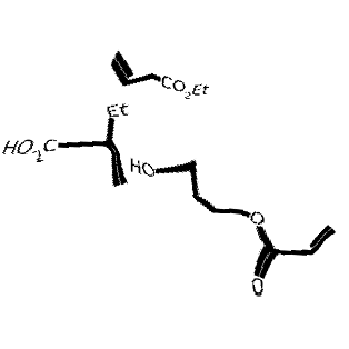 C=C(CC)C(=O)O.C=CC(=O)OCC.C=CC(=O)OCCO